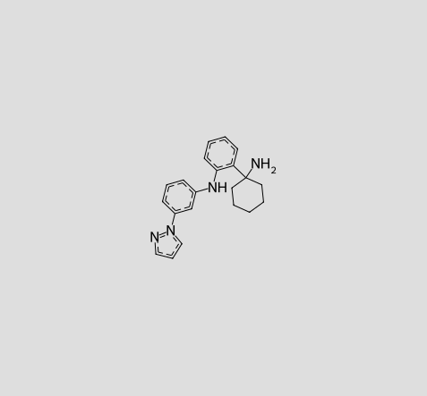 NC1(c2ccccc2Nc2cccc(-n3cccn3)c2)CCCCC1